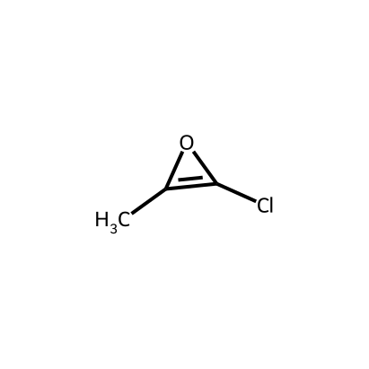 CC1=C(Cl)O1